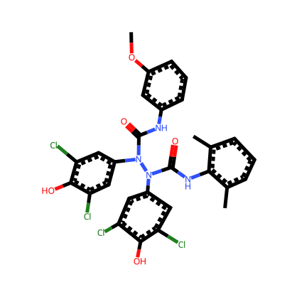 COc1cccc(NC(=O)N(c2cc(Cl)c(O)c(Cl)c2)N(C(=O)Nc2c(C)cccc2C)c2cc(Cl)c(O)c(Cl)c2)c1